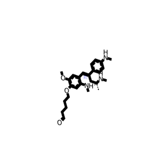 CNc1ccc(/C(=C/c2cc(OC)c(OCCCCC=O)cc2NC)C[C@@H](C)NC)cc1